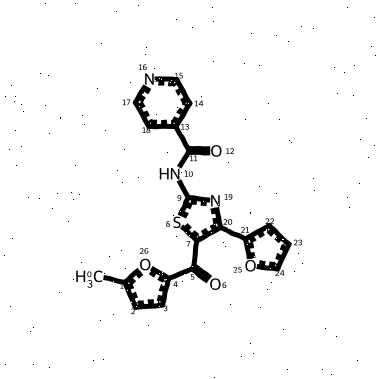 Cc1ccc(C(=O)c2sc(NC(=O)c3ccncc3)nc2-c2ccco2)o1